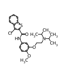 COc1ccc(NC(=O)c2sc3ccccc3c2Cl)cc1OCCN(C(C)C)C(C)C